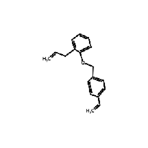 C=CCc1ccccc1OCc1ccc(C=C)cc1